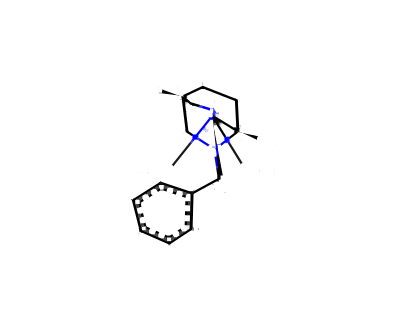 O=C(O)[C@H]1[C@@H]2CC[C@@H](CN2Cc2ccccc2)CN1C(=O)O